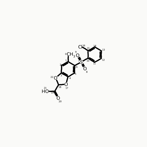 Cc1cc2c(cc1S(=O)(=O)c1ccccc1Cl)OC(C(=O)O)O2